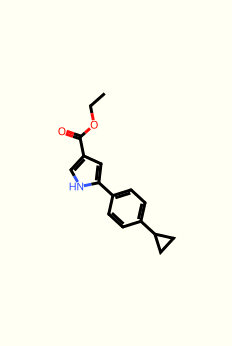 CCOC(=O)c1c[nH]c(-c2ccc(C3CC3)cc2)c1